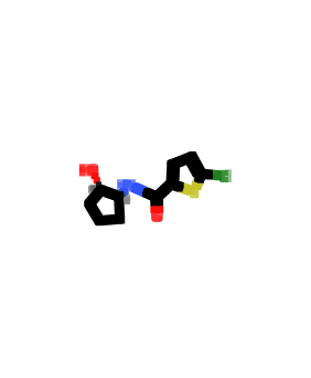 O=C(N[C@H]1CCC[C@@H]1O)c1ccc(Cl)s1